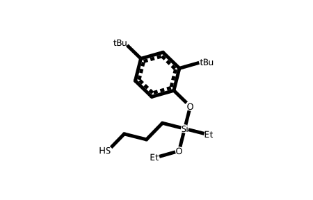 CCO[Si](CC)(CCCS)Oc1ccc(C(C)(C)C)cc1C(C)(C)C